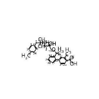 Cc1ccc(CC(C)(C)NC[C@@H](O)COC(C)c2ccccc2-c2ccc(C(=O)O)c(C)c2)cc1